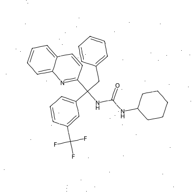 O=C(NC1CCCCC1)NC(Cc1ccccc1)(c1cccc(C(F)(F)F)c1)c1ccc2ccccc2n1